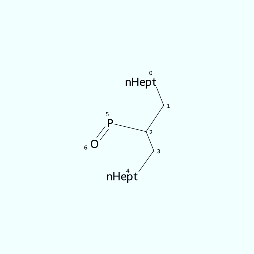 CCCCCCCCC(CCCCCCCC)P=O